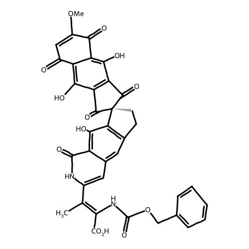 COC1=CC(=O)c2c(O)c3c(c(O)c2C1=O)C(=O)[C@]1(CCc2cc4cc(C(C)=C(NC(=O)OCc5ccccc5)C(=O)O)[nH]c(=O)c4c(O)c21)C3=O